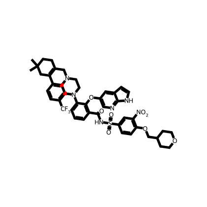 CC1(C)CCC(CN2CCN(c3cccc(C(=O)NS(=O)(=O)c4ccc(OCC5CCOCC5)c([N+](=O)[O-])c4)c3Oc3cnc4[nH]ccc4c3)CC2)=C(c2ccc(C(F)(F)F)cc2)C1